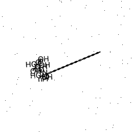 CC#CC#CC#CC#CC#CC#CC#CC#CC#CC#CC#CC#CC(=O)N[C@@H](COC1OC(CO)C(O)C(OOO)C1O)C(O)[C@H](O)CCC